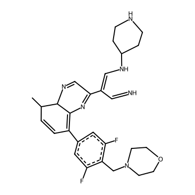 CC1C=CC(c2cc(F)c(CN3CCOCC3)c(F)c2)=C2N=C(/C(C=N)=C/NC3CCNCC3)C=NC21